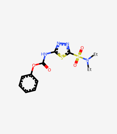 CCN(CC)S(=O)(=O)c1nnc(NC(=O)Oc2ccccc2)s1